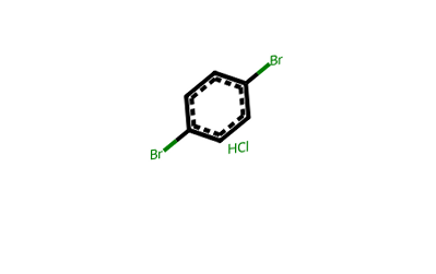 Brc1ccc(Br)cc1.Cl